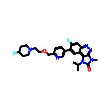 CC(C)n1c(=O)n(C)c2nnc3cc(F)c(-c4ccc(COCCN5CCC(F)CC5)nc4)cc3c21